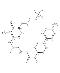 CC(C(=O)NOC[C@H](C)Nc1cnn(COCC[Si](C)(C)C)c(=O)c1C(F)(F)F)C1CCN(c2ncc(C(F)(F)F)cn2)CC1